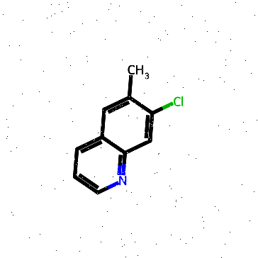 Cc1cc2cccnc2cc1Cl